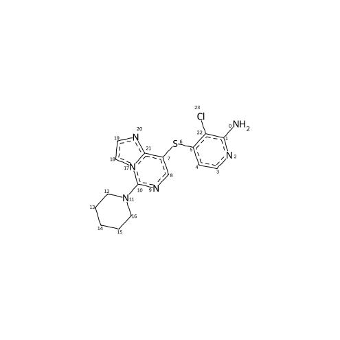 Nc1nccc(Sc2cnc(N3CCCCC3)n3ccnc23)c1Cl